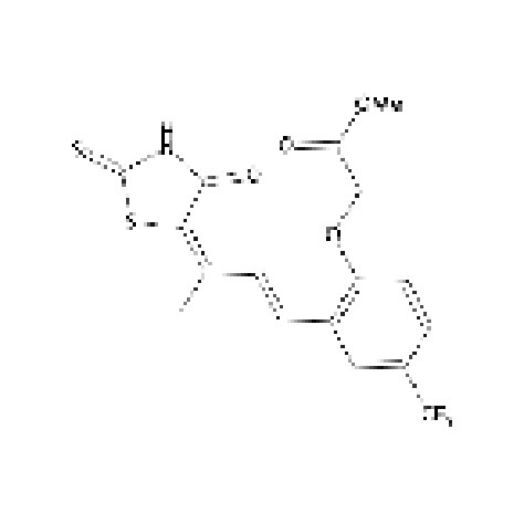 COC(=O)COc1ccc(C(F)(F)F)cc1/C=C/C(C)=C1/SC(=S)NC1=O